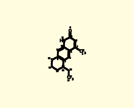 O=c1cc(C(F)(F)F)c2cc3c(cc2[nH]1)SCCN3CC(F)(F)F